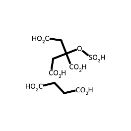 O=C(O)CC(CC(=O)O)(OS(=O)(=O)O)C(=O)O.O=C(O)CCC(=O)O